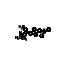 Cc1ccc2c(c1)c1cc(C(C)(C)C)ccc1n2-c1ccc(-c2ccccc2-c2ccccc2-c2ccc(-n3nc(-c4ccccc4)cc3-c3ccccc3)cc2)cc1